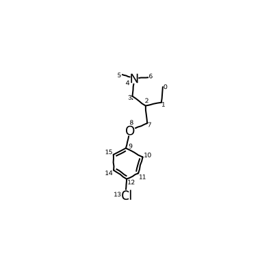 CCC([CH]N(C)C)COc1ccc(Cl)cc1